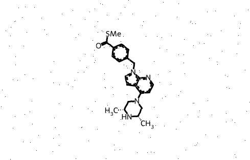 CSC(=O)c1ccc(Cn2ccc3c(N4C[C@@H](C)N[C@@H](C)C4)ccnc32)cc1